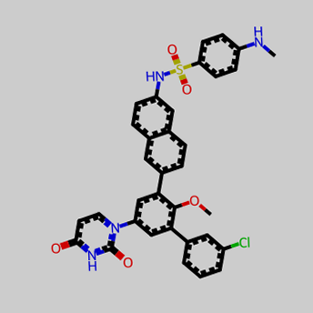 CNc1ccc(S(=O)(=O)Nc2ccc3cc(-c4cc(-n5ccc(=O)[nH]c5=O)cc(-c5cccc(Cl)c5)c4OC)ccc3c2)cc1